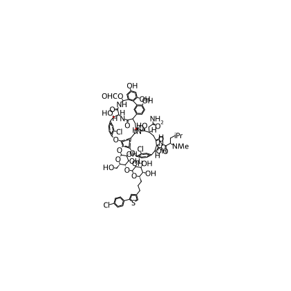 CN[C@H](CC(C)C)C(=O)N[C@H]1C(=O)C[C@@H](CC(N)=O)C(=O)N[C@H]2C(=O)CC3C(=O)N[C@H](C(=O)N[C@@H](OC=O)c4cc(O)cc(O)c4-c4cc3ccc4O)C(O)c3ccc(c(Cl)c3)Oc3cc2cc(c3OC2O[C@H](CO)[C@@H](OC3O[C@H](CCCc4csc(-c5ccc(Cl)cc5)c4)[C@H](O)[C@H](O)[C@H]3O)[C@H](O)[C@H]2O)Oc2ccc(cc2Cl)[C@H]1O